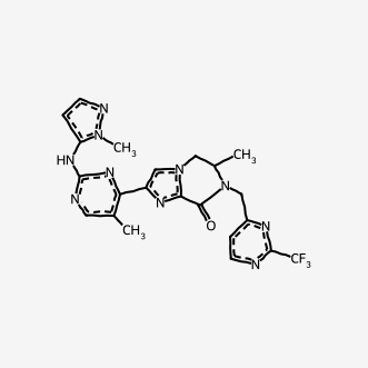 Cc1cnc(Nc2ccnn2C)nc1-c1cn2c(n1)C(=O)N(Cc1ccnc(C(F)(F)F)n1)C(C)C2